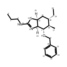 CCCNC1=N[C@@H]2[C@@H](OCc3ccccc3)[C@H](C)[C@@H](CC)C[C@@H]2S1